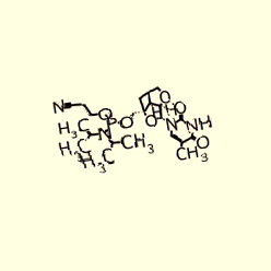 Cc1cn([C@@H]2O[C@@]3(COP(OCCC#N)N(C(C)C)C(C)C)CC4CO[C@@H]2[C@H]43)c(=O)[nH]c1=O